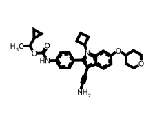 CC(OC(=O)Nc1ccc(-c2c(C#CN)c3ccc(OC4CCOCC4)cc3n2C2CCC2)cc1)C1CC1